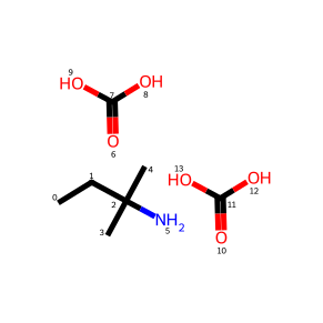 CCC(C)(C)N.O=C(O)O.O=C(O)O